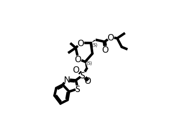 CCC(C)OC(=O)C[C@@H]1C[C@@H](CS(=O)(=O)c2nc3ccccc3s2)OC(C)(C)O1